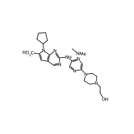 CNC.O=C(O)c1cc2cnc(Nc3cnc(N4CCN(CCO)CC4)cn3)nc2n1C1CCCC1